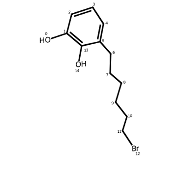 Oc1cccc(CCCCCCBr)c1O